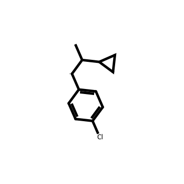 CC([CH]c1ccc(Cl)cc1)C1CC1